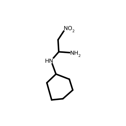 NC(C[N+](=O)[O-])NC1CCCCC1